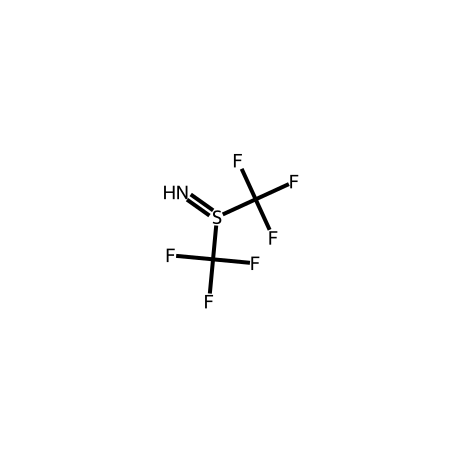 N=S(C(F)(F)F)C(F)(F)F